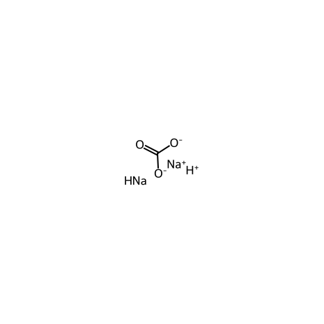 O=C([O-])[O-].[H+].[Na+].[NaH]